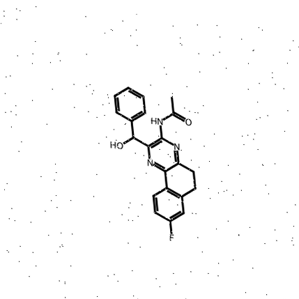 CC(=O)Nc1nc2c(nc1C(O)c1ccccc1)-c1ccc(F)cc1CC2